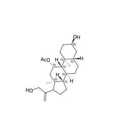 C=C(CO)C1CC[C@H]2[C@@H]3CC[C@H]4C[C@H](O)CC[C@]4(C)[C@H]3[C@@H](OC(C)=O)C[C@]12C